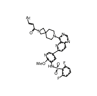 COc1ncc(-c2ccc3ncnc(N4CCC5(CC4)CN(C(=O)/C=C/C(C)=O)C5)c3n2)cc1NS(=O)(=O)c1c(F)cccc1F